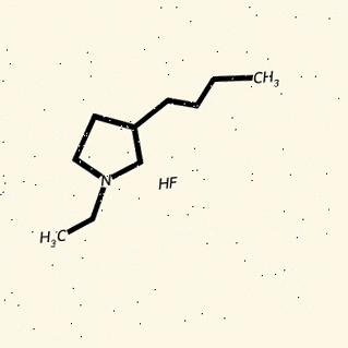 CCCCC1CCN(CC)C1.F